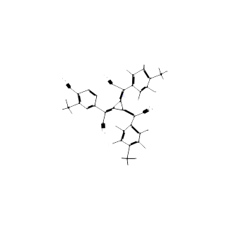 N#CC(=C1C(=C(\C#N)c2ccc(C#N)c(C(F)(F)F)c2)/C1=C(\C#N)c1c(F)c(F)c(C(F)(F)F)c(F)c1F)c1c(F)c(F)c(C(F)(F)F)c(F)c1F